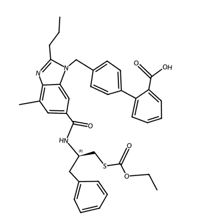 CCCc1nc2c(C)cc(C(=O)N[C@@H](CSC(=O)OCC)Cc3ccccc3)cc2n1Cc1ccc(-c2ccccc2C(=O)O)cc1